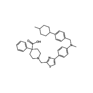 CC1CCC(c2ccc(CN(C)c3ccc(-c4csc(CN5CCC(C(=O)O)(c6ccccc6)CC5)n4)cc3)cc2)CC1